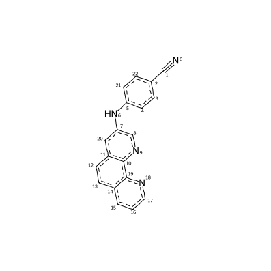 N#Cc1ccc(Nc2cnc3c(ccc4cccnc43)c2)cc1